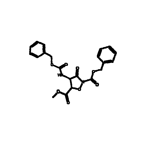 COC(=O)C1ON(C(=O)OCc2ccccc2)C(=O)C1NC(=O)OCc1ccccc1